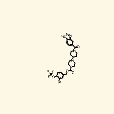 O=C(OCc1ccc(OC(F)(F)F)c(Br)c1)N1CCN(C2CCN(C(=O)c3ccc4[nH]nnc4c3)CC2)CC1